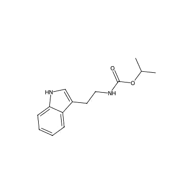 CC(C)OC(=O)NCCc1c[nH]c2ccccc12